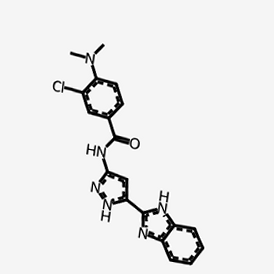 CN(C)c1ccc(C(=O)Nc2cc(-c3nc4ccccc4[nH]3)[nH]n2)cc1Cl